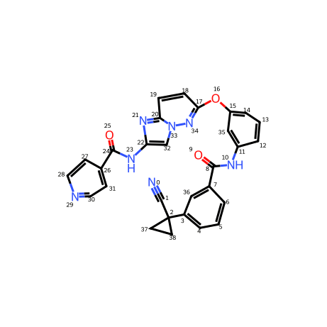 N#CC1(c2cccc(C(=O)Nc3cccc(Oc4ccc5nc(NC(=O)c6ccncc6)cn5n4)c3)c2)CC1